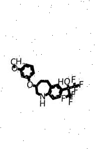 COc1cccc(OC2CCc3cc(C(O)(C(F)(F)F)C(F)(F)F)ccc3NC2)c1